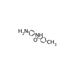 Cc1ccc(C(=O)Nc2ccc(N)cc2)cc1